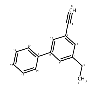 C#Cc1[c]c(CC)cc(-c2ccccc2)c1